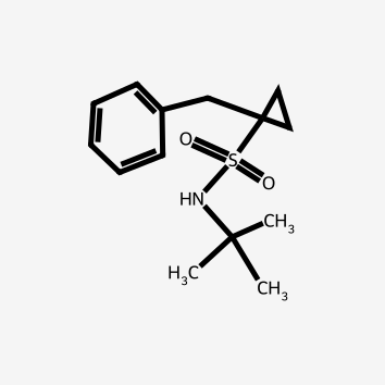 CC(C)(C)NS(=O)(=O)C1(Cc2ccccc2)CC1